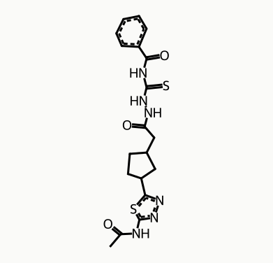 CC(=O)Nc1nnc(C2CCC(CC(=O)NNC(=S)NC(=O)c3ccccc3)C2)s1